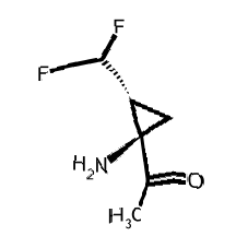 CC(=O)[C@@]1(N)C[C@H]1C(F)F